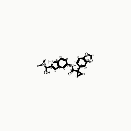 CN(C)C(O)c1cc2cc(NC(=O)C3(c4ccc5c(c4)OCO5)CC3)ccc2[nH]1